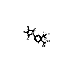 CC1=C(C)C(=O)N(c2ccc(C(O)O)c(C(F)(F)F)c2)C1=O